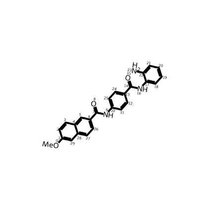 COc1ccc2cc(C(=O)Nc3ccc(C(=O)Nc4ccccc4N)cc3)ccc2c1